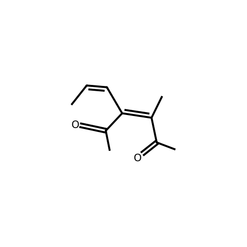 C/C=C\C(C(C)=O)=C(/C)C(C)=O